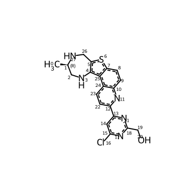 C[C@@H]1CNc2c(sc3ccc4nc(-c5cc(Cl)nc(CO)n5)ccc4c23)CN1